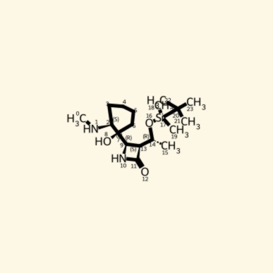 CN[C@H]1CCCC[C@]1(O)[C@@H]1NC(=O)[C@@H]1[C@@H](C)O[Si](C)(C)C(C)(C)C